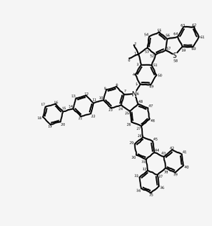 CC1(C)c2cc(-n3c4ccc(-c5ccc(-c6ccccc6)cc5)cc4c4cc(-c5ccc6c7ccccc7c7ccccc7c6c5)ccc43)ccc2-c2c1ccc1c2sc2ccccc21